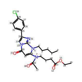 CCCCCn1c(N(CCCC(=O)OCC)C(C)=O)cc(=O)n2cc(-c3ccc(Cl)cc3)nc12